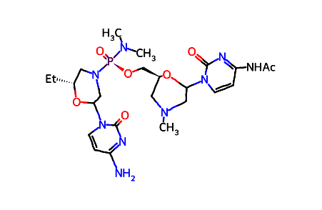 CC[C@@H]1CN([P@@](=O)(OC[C@@H]2CN(C)CC(n3ccc(NC(C)=O)nc3=O)O2)N(C)C)CC(n2ccc(N)nc2=O)O1